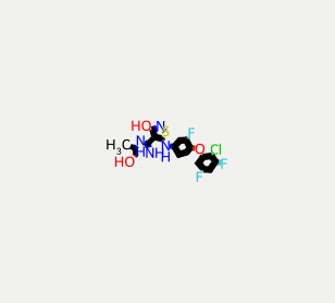 CC(CO)NC(=N)c1c(O)nsc1Nc1ccc(Oc2cc(F)cc(F)c2Cl)c(F)c1